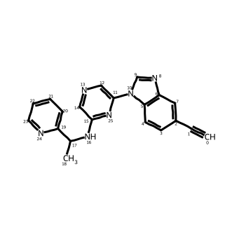 C#Cc1ccc2c(c1)ncn2-c1cncc(NC(C)c2ccccn2)n1